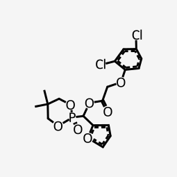 CC1(C)COP(=O)(C(OC(=O)COc2ccc(Cl)cc2Cl)c2ccco2)OC1